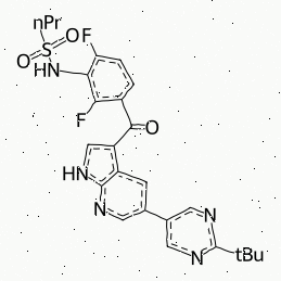 CCCS(=O)(=O)Nc1c(F)ccc(C(=O)c2c[nH]c3ncc(-c4cnc(C(C)(C)C)nc4)cc23)c1F